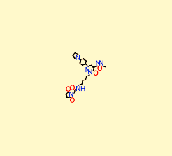 Cc1nnc(-c2cc(-c3ccc(N4C=CCC4)cc3)nn(CCCCCCNC(=O)CN3C(=O)C=CC3=O)c2=O)o1